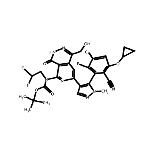 Cn1ncc(-c2cc3c(CO)n[nH]c(=O)c3c(N(CC(F)F)C(=O)OC(C)(C)C)n2)c1-c1c(F)c(Cl)cc(OC2CC2)c1C#N